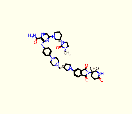 CN1CCN([C@@H]2CCCN(c3cnc(C(N)=O)c(Nc4ccc(N5CCN(C[C@H]6CCN(c7ccc8c(c7)C(=O)N(C7(C=O)CCC(=O)NC7)C8=O)C6)CC5)cc4)n3)C2)C1=O